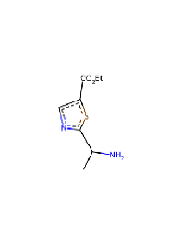 CCOC(=O)c1cnc(C(C)N)s1